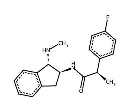 CN[C@H]1c2ccccc2C[C@@H]1NC(=O)[C@H](C)c1ccc(F)cc1